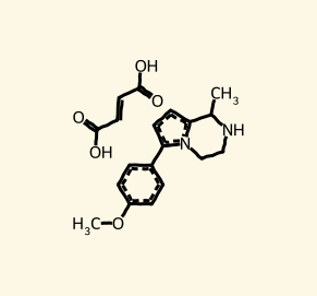 COc1ccc(-c2ccc3n2CCNC3C)cc1.O=C(O)C=CC(=O)O